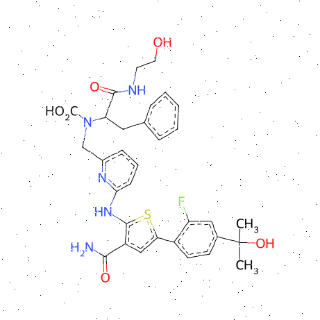 CC(C)(O)c1ccc(-c2cc(C(N)=O)c(Nc3cccc(CN(C(=O)O)C(Cc4ccccc4)C(=O)NCCO)n3)s2)c(F)c1